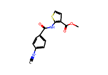 [C-]#[N+]c1ccc(C(=O)Nc2sccc2C(=O)OC)cc1